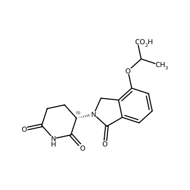 CC(Oc1cccc2c1CN([C@H]1CCC(=O)NC1=O)C2=O)C(=O)O